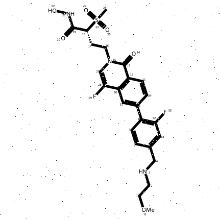 COCCNCc1ccc(-c2ccc3c(=O)n(CC[C@H](C(=O)NO)S(C)(=O)=O)cc(F)c3c2)c(F)c1